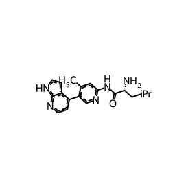 Cc1cc(NC(=O)[C@H](N)CC(C)C)ncc1-c1ccnc2[nH]ccc12